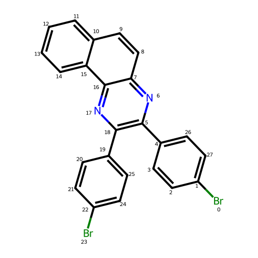 Brc1ccc(-c2nc3ccc4ccccc4c3nc2-c2ccc(Br)cc2)cc1